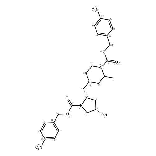 CC1CN(C[C@@H]2C[C@H](S)CN2C(=O)OCc2ccc([N+](=O)[O-])cc2)CCN1C(=O)OCc1ccc([N+](=O)[O-])cc1